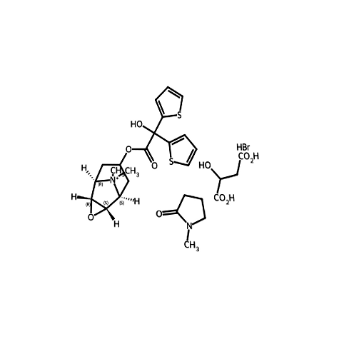 Br.CN1CCCC1=O.C[N+]1(C)[C@@H]2CC(OC(=O)C(O)(c3cccs3)c3cccs3)C[C@H]1[C@@H]1O[C@@H]12.O=C(O)CC(O)C(=O)O